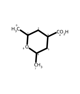 CC1CC(C(=O)O)CC(C)O1